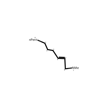 CCCCCCCCC=CCNC